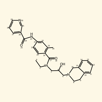 CCN(CC(O)CN1CCc2ccccc2C1)C(=O)c1ccc(NC(=O)c2cccnc2)cc1C